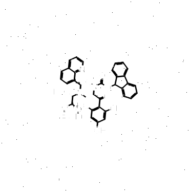 CCOC(OCC)[C@H](C)N(Cc1cccc2cccnc12)C[C@@H](C(=O)c1c(C)cc(O)cc1C)N(C)C(=O)OC1c2ccccc2-c2ccccc21